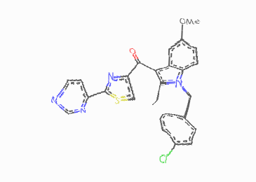 COc1ccc2c(c1)c(C(=O)c1csc(-c3ccncn3)n1)c(C)n2Cc1ccc(Cl)cc1